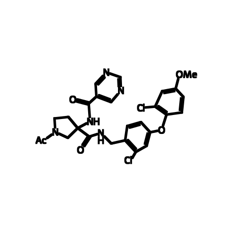 COc1ccc(Oc2ccc(CNC(=O)C3(NC(=O)c4cncnc4)CCN(C(C)=O)C3)c(Cl)c2)c(Cl)c1